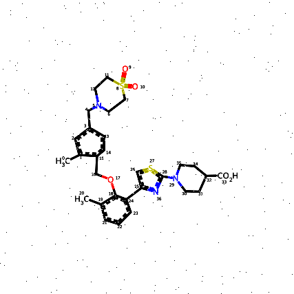 Cc1cc(CN2CCS(=O)(=O)CC2)ccc1COc1c(C)cccc1-c1csc(N2CCC(C(=O)O)CC2)n1